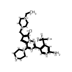 CCN1CCN(Cc2cc3c(N4CCOCC4)nc(-c4cnc(N)cc4C(F)(F)F)nn3c2Cl)CC1